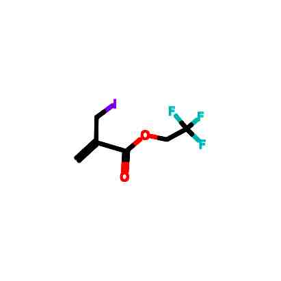 C=C(CI)C(=O)OCC(F)(F)F